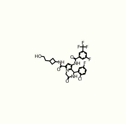 O=C1Cn2c(C(=O)NC3CC(CCO)C3)cc(NC(=O)c3cc(F)cc(C(F)(F)F)c3)c2C(c2cc(F)ccc2Cl)N1